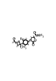 CC1(c2ccc(N3C[C@H](C(N)=O)OC3=O)cc2F)CN(C=O)C1